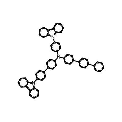 c1ccc(-c2ccc(-c3ccc(N(c4ccc(-c5ccc(-n6c7ccccc7c7ccccc76)cc5)cc4)c4ccc(-n5c6ccccc6c6ccccc65)cc4)cc3)cc2)cc1